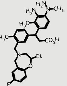 CCC1CN(Cc2cc(C(CC(=O)O)c3ccc(N(C)N)c(N)c3C)ccc2C)Cc2cc(F)ccc2O1